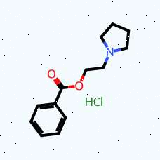 Cl.O=C(OCCN1CCCC1)c1ccccc1